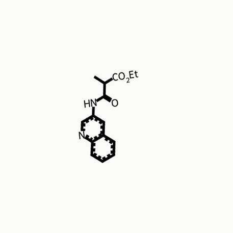 CCOC(=O)C(C)C(=O)Nc1cnc2ccccc2c1